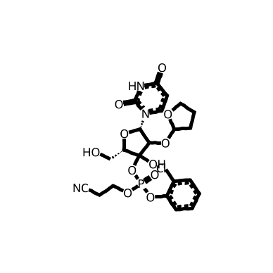 N#CCCOP(=O)(Oc1ccccc1Cl)OC1(O)C(OC2CCCO2)[C@@H](n2ccc(=O)[nH]c2=O)O[C@H]1CO